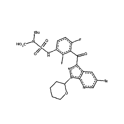 CC(C)(C)N(C(=O)O)S(=O)(=O)Nc1ccc(F)c(C(=O)c2nn(C3CCCCO3)c3ncc(Br)cc23)c1F